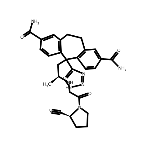 C[C@@H](CC1(c2nn[nH]n2)c2ccc(C(N)=O)cc2CCc2cc(C(N)=O)ccc21)NCC(=O)N1CCC[C@H]1C#N